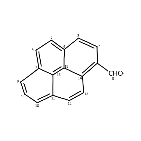 O=[C]c1ccc2ccc3cccc4ccc1c2c34